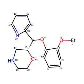 CCOc1ccccc1OC(c1ccccn1)[C@H]1CNCCO1